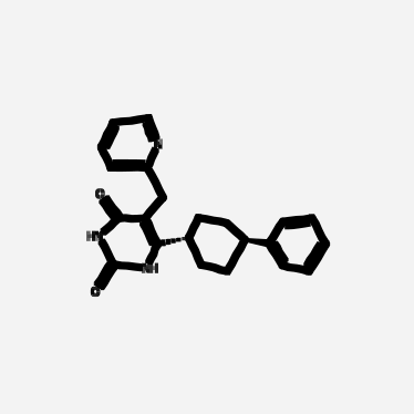 O=c1[nH]c(=O)c(Cc2ccccn2)c([C@H]2CC[C@H](c3ccccc3)CC2)[nH]1